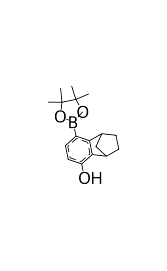 CC1(C)OB(c2ccc(O)c3c2C2CCC3C2)OC1(C)C